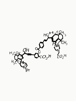 CC(C)N1CCN(c2cc(C(O)C#Cc3ccc(C(=O)O)c(OC(=O)c4ccc(C=CC(O)c5cc(N6CCN(CCC(=O)O)CC6)c6c(c5)C(C)(C)CCC6(C)C)cc4)c3)cc3c2C(C)(C)CCC3(C)C)CC1